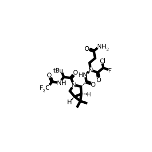 CC(C)(C)C(NC(=O)C(F)(F)F)C(=O)N1C[C@H]2[C@@H]([C@H]1C(=O)NN(CCC(N)=O)C(=O)C(F)Cl)C2(C)C